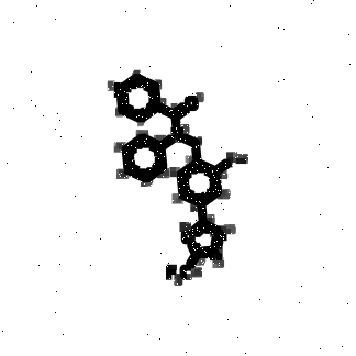 O=C(c1ccncc1)N(Cc1ccc(-c2nnc(C(F)(F)F)o2)cc1F)c1ccccc1